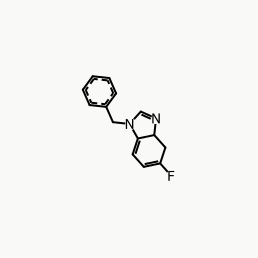 FC1=CC=C2C(C1)N=CN2Cc1ccccc1